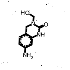 Nc1ccc2c(c1)NC(=O)N(CO)C2